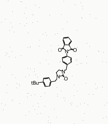 CC(C)(C)c1ccc(CN2CCN(Cc3ccc(N4C(=O)c5ccccc5C4=O)cc3)C2=O)cc1